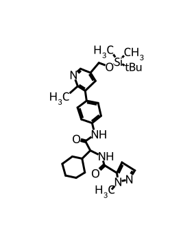 Cc1ncc(CO[Si](C)(C)C(C)(C)C)cc1-c1ccc(NC(=O)C(NC(=O)c2ccnn2C)C2CCCCC2)cc1